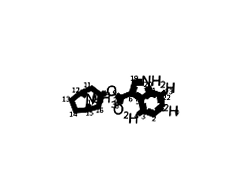 [2H]c1cc([2H])c2c(C(=O)OC3CC4CCC(C3)N4C)c[nH]c2c1[2H]